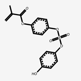 C=C(C)C(=O)Oc1ccc(OS(=O)(=O)Oc2ccc(O)cc2)cc1